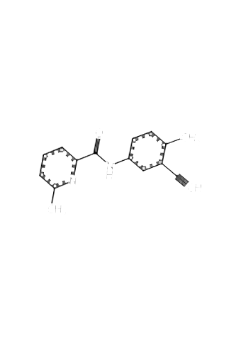 C#Cc1cc(NC(=O)c2cccc(C)n2)ccc1C